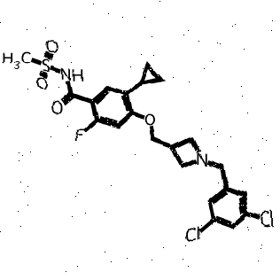 CS(=O)(=O)NC(=O)c1cc(C2CC2)c(OCC2CN(Cc3cc(Cl)cc(Cl)c3)C2)cc1F